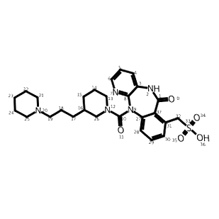 O=C1Nc2cccnc2N(C(=O)N2CCCC(CCCN3CCCCC3)C2)c2cccc(CS(=O)(=O)O)c21